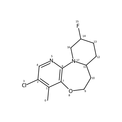 Cc1c(Cl)cnc2c1OCCC1CCC(F)CN21